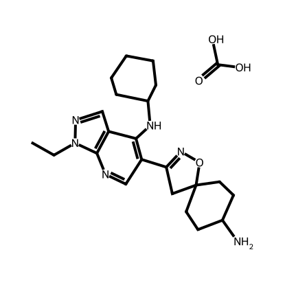 CCn1ncc2c(NC3CCCCC3)c(C3=NOC4(CCC(N)CC4)C3)cnc21.O=C(O)O